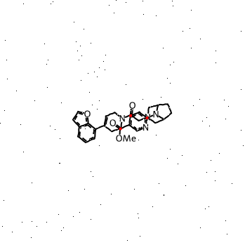 COC(=O)c1ccc(N2C3CCC2CN(CC(=O)N2CC=C(c4cccc5ccoc45)CC2)C3)nc1